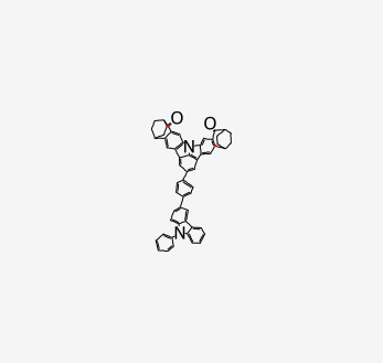 O=C1c2cc3c(cc2C2CCC1CC2)c1cc(-c2ccc(-c4ccc5c(c4)c4ccccc4n5-c4ccccc4)cc2)cc2c4cc5c(cc4n3c12)C(=O)C1CCC5CC1